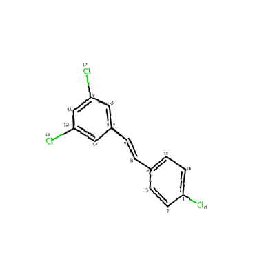 Clc1ccc(C=Cc2cc(Cl)cc(Cl)c2)cc1